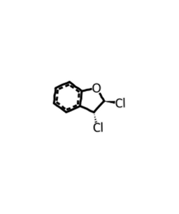 Cl[C@@H]1Oc2ccccc2[C@H]1Cl